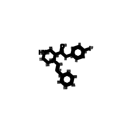 O=C(Cc1ccc(I)cc1)C1CNCCN1C=Cc1ccccc1